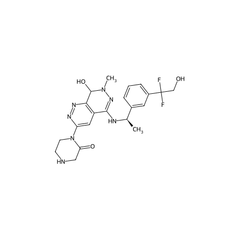 C[C@@H](NC1=NN(C)C(O)c2nnc(N3CCNCC3=O)cc21)c1cccc(C(F)(F)CO)c1